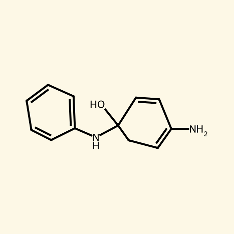 NC1=CCC(O)(Nc2ccccc2)C=C1